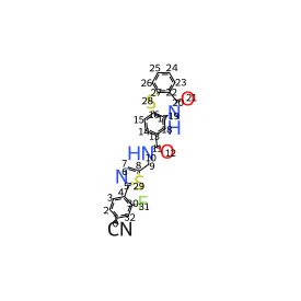 N#Cc1ccc(-c2ncc(CNC(=O)c3ccc4c(c3)NC(=O)c3ccccc3S4)s2)c(F)c1